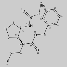 CC(C)(C)OC(=O)N[C@H]1CCC[C@@H]1N(CCF)C(=O)OCc1ccccc1